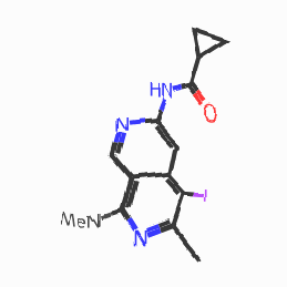 CNc1nc(C)c(I)c2cc(NC(=O)C3CC3)ncc12